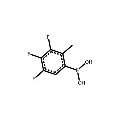 Cc1c(B(O)O)cc(F)c(F)c1F